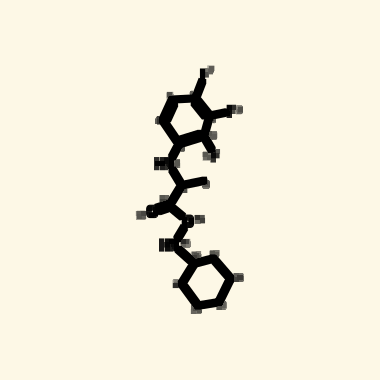 CC(Nc1ccc(F)c(F)c1F)C(=O)ONC1CCCCC1